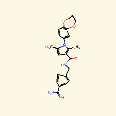 Cc1cc(C(=O)NCc2ccc(C(=N)N)cc2)c(C)n1-c1ccc2c(c1)OCCO2